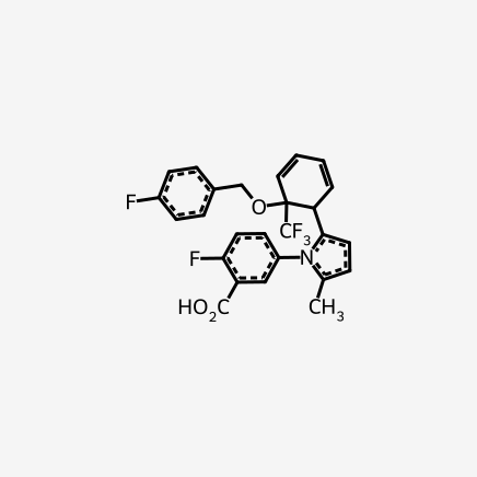 Cc1ccc(C2C=CC=CC2(OCc2ccc(F)cc2)C(F)(F)F)n1-c1ccc(F)c(C(=O)O)c1